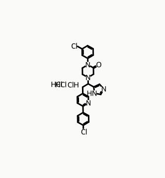 Cl.Cl.Cl.O=C1CN(C(Cc2ccc(-c3ccc(Cl)cc3)nc2)c2cnc[nH]2)CCN1c1cccc(Cl)c1